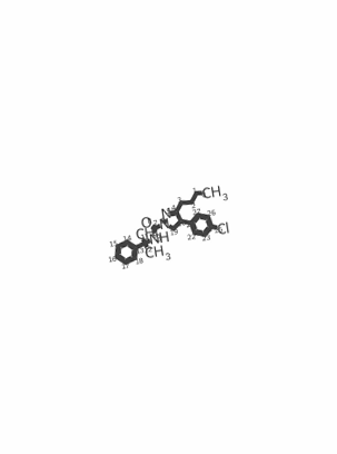 CCCCC1=NN(C(=O)NC(C)(C)c2ccccc2)CC1c1ccc(Cl)cc1